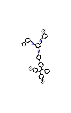 COc1ccc(C(=C(c2ccccc2)c2ccc(-c3ccc(/C=C/c4cc(/C=C/c5cccc(OC)c5)cc(/C=C/c5cccc(OC)c5)c4)cc3)cc2)c2ccc(OC)cc2)cc1